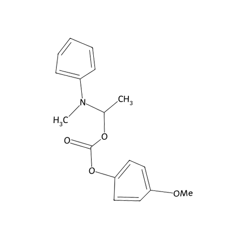 COc1ccc(OC(=O)OC(C)N(C)c2ccccc2)cc1